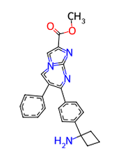 COC(=O)c1cn2cc(-c3ccccc3)c(-c3ccc(C4(N)CCC4)cc3)nc2n1